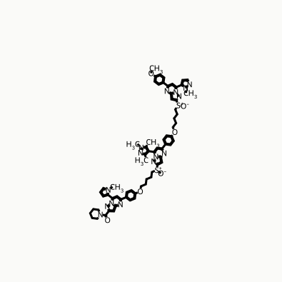 COc1ccc(-c2cc(-c3ccnn3C)n3nc([S+]([O-])CCCCCOc4ccc(-c5cc(-c6c(C)nn(C)c6C)n6nc([S+]([O-])CCCCCOc7ccc(-c8cc(-c9cccn9C)n9nc(C(=O)N%10CCCCC%10)cc9n8)cc7)cc6n5)cc4)cc3n2)cc1